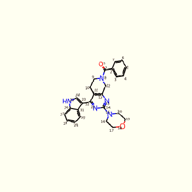 O=C(c1ccccc1)N1CCc2c(nc(N3CCOCC3)nc2-c2c[nH]c3ccccc23)C1